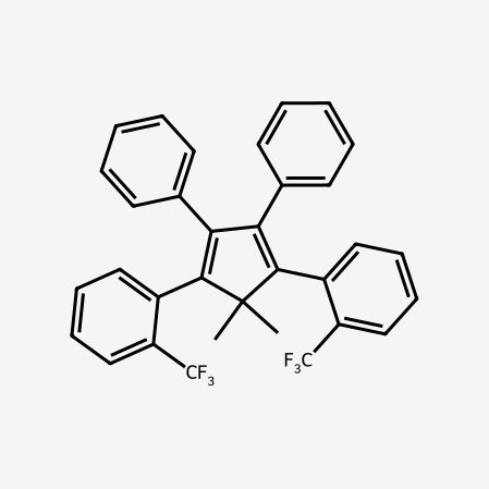 CC1(C)C(c2ccccc2C(F)(F)F)=C(c2ccccc2)C(c2ccccc2)=C1c1ccccc1C(F)(F)F